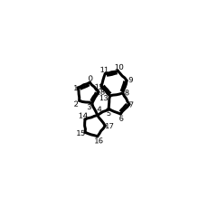 C1=CCC(C2(C3C=Cc4ccccc43)CCCC2)=C1